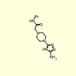 CC(C)NC(=O)CN1CCN(c2nnc(N)[nH]2)CC1